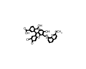 COc1ccc2cccc(NCc3c(O)ccc4c(-c5cc(C(=O)O)ccc5C(=O)O)c5cc(Cl)c(=O)cc-5oc34)c2n1